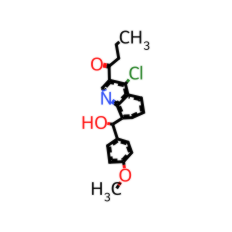 CCCC(=O)c1cnc2c(C(O)c3ccc(OC)cc3)cccc2c1Cl